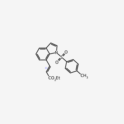 CCOC(=O)/C=C/c1cccc2ccn(S(=O)(=O)c3ccc(C)cc3)c12